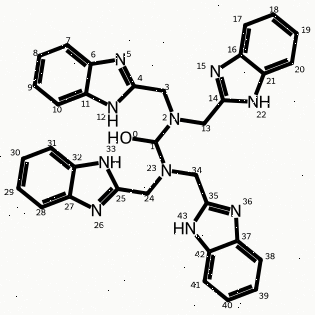 OC(N(Cc1nc2ccccc2[nH]1)Cc1nc2ccccc2[nH]1)N(Cc1nc2ccccc2[nH]1)Cc1nc2ccccc2[nH]1